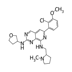 COc1cccc(-c2cc3cnc(NC4CCOC4)nc3c(NCC3CCCN3C)n2)c1Cl